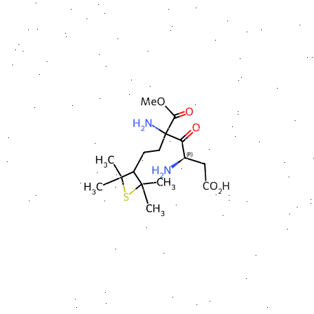 COC(=O)C(N)(CCC1C(C)(C)SC1(C)C)C(=O)[C@H](N)CC(=O)O